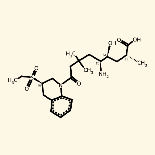 CCS(=O)(=O)[C@@H]1Cc2ccccc2N(C(=O)CC(C)(C)C[C@H](N)[C@@H](O)C[C@@H](C)C(=O)O)C1